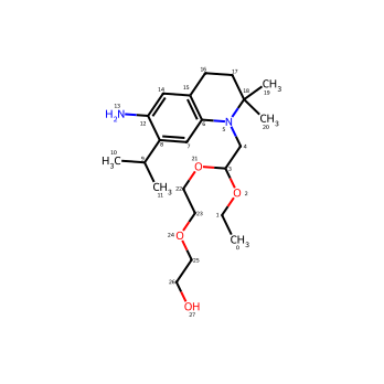 CCOC(CN1c2cc(C(C)C)c(N)cc2CCC1(C)C)OCCOCCO